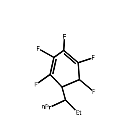 CCCC(CC)C1C(F)=C(F)C(F)=C(F)C1F